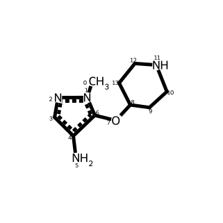 Cn1ncc(N)c1OC1CCNCC1